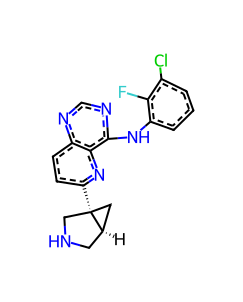 Fc1c(Cl)cccc1Nc1ncnc2ccc([C@@]34CNC[C@@H]3C4)nc12